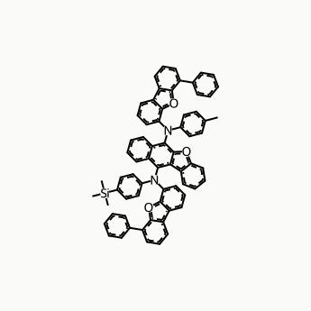 Cc1ccc(N(c2cccc3c2oc2c(-c4ccccc4)cccc23)c2c3ccccc3c(N(c3ccc([Si](C)(C)C)cc3)c3cccc4c3oc3c(-c5ccccc5)cccc34)c3c2oc2ccccc23)cc1